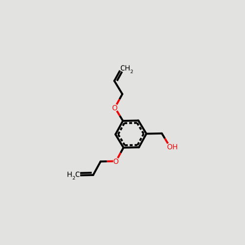 C=CCOc1cc(CO)cc(OCC=C)c1